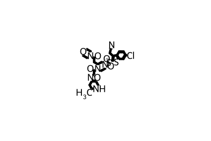 CC1Cc2nc(C(=O)N3CCN(S(=O)(=O)c4sc5cc(Cl)ccc5c4CC#N)CC3CC(=O)N3CCOCC3)oc2CN1